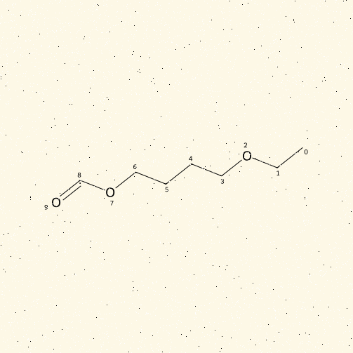 CCOCCCCO[C]=O